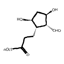 CCCCCCCCC(=O)CC[C@H]1[C@@H](C=O)[C@H](O)C[C@@H]1O